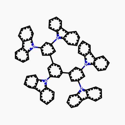 c1ccc2c(c1)c1ccccc1n2-c1cc(-c2cc(-n3c4ccccc4c4ccccc43)cc(-n3c4ccccc4c4ccccc43)c2)cc(-c2cc(-n3c4ccccc4c4ccccc43)cc(-n3c4ccccc4c4ccccc43)c2)c1